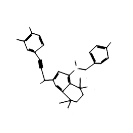 CN(Cc1ccc(F)cc1)c1cc(C(O)C#Cc2ccc(C(=O)O)c(O)c2)cc2c1C(C)(C)CCC2(C)C